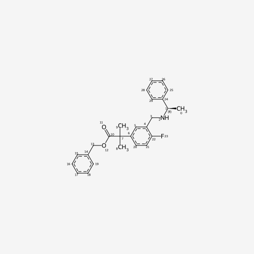 C[C@@H](NCc1cc(C(C)(C)C(=O)OCc2ccccc2)ccc1F)c1ccccc1